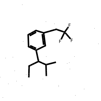 CCC(c1cccc(CC(F)(F)F)c1)C(C)C